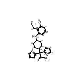 NC(=O)C(c1ccco1)(c1ccco1)N1CCC(Nc2cccc(Cl)c2CO)CC1